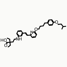 CCC(CC)(CCNc1cccc(C=Cc2cccc(OCCCCc3ccc(OCCC(C)C)cc3)n2)c1)C(=O)O